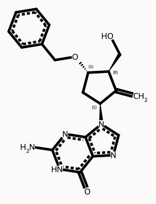 C=C1[C@H](CO)[C@@H](OCc2ccccc2)C[C@@H]1n1cnc2c(=O)[nH]c(N)nc21